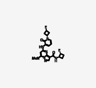 CNc1cc(Nc2cccn([C@H]3C[C@H](F)C3)c2=O)nc2c(C(=O)N[C@@H]3CC[C@H]3F)cnn12